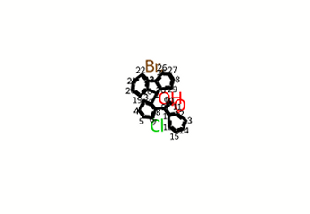 OC1(c2cccc(Cl)c2-c2coc3ccccc23)c2ccccc2-c2c(Br)cccc21